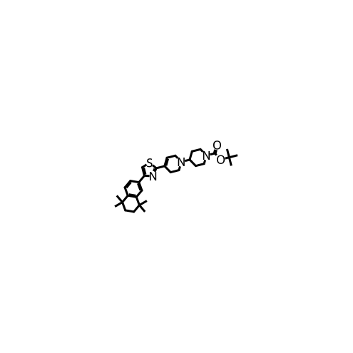 CC(C)(C)OC(=O)N1CCC(N2CC=C(c3nc(-c4ccc5c(c4)C(C)(C)CCC5(C)C)cs3)CC2)CC1